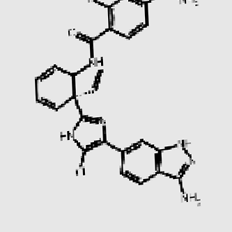 C=C[C@]1(c2nc(-c3ccc4c(N)n[nH]c4c3)c(Cl)[nH]2)C=CC=CC1NC(=O)c1ccc(CN)cc1F